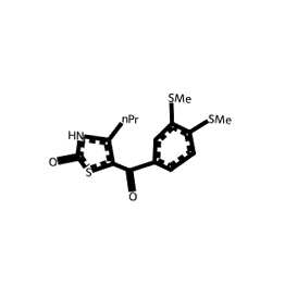 CCCc1[nH]c(=O)sc1C(=O)c1ccc(SC)c(SC)c1